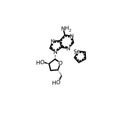 Nc1ncnc2c1ncn2[C@@H]1O[C@H](CO)C[C@H]1O.c1cc[se]c1